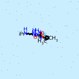 Cc1cc(C)c(COc2nsc(NC(=O)NCCCCCNC(C)C)c2C(N)=O)c(F)c1